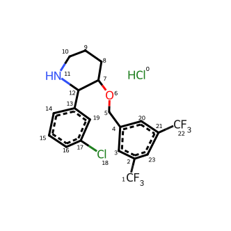 Cl.FC(F)(F)c1cc(COC2CCCNC2c2cccc(Cl)c2)cc(C(F)(F)F)c1